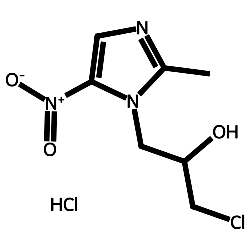 Cc1ncc([N+](=O)[O-])n1CC(O)CCl.Cl